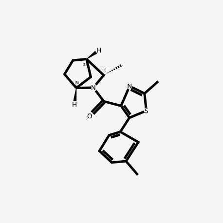 [CH2][C@H]1[C@H]2CC[C@H](C2)N1C(=O)c1nc(C)sc1-c1cccc(C)c1